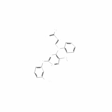 COc1cccc(Nc2ncc(NC=O)c(N(C=CC(N)=O)c3ccccc3)n2)c1